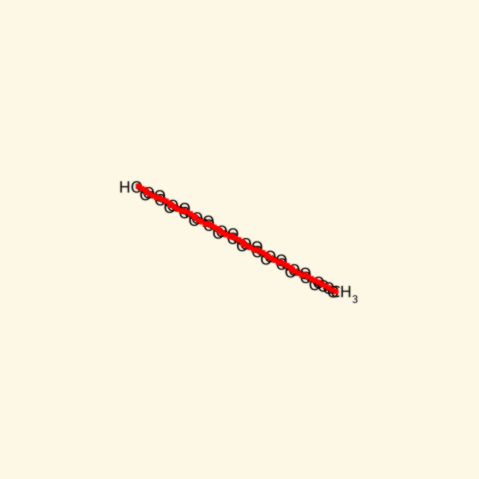 COCCOCCOCCOC(=O)CCCCCOC(=O)CCCCCOC(=O)CCCCCOC(=O)CCCCCOC(=O)CCCCCOC(=O)CCCCCOC(=O)CCCCCOC(=O)CCCCCOC(=O)CCCCCOC(=O)CCCCCOC(=O)CCCCCOC(=O)CCCCCOC(=O)CCCCCOC(=O)CCCCCOC(=O)CCCCCO